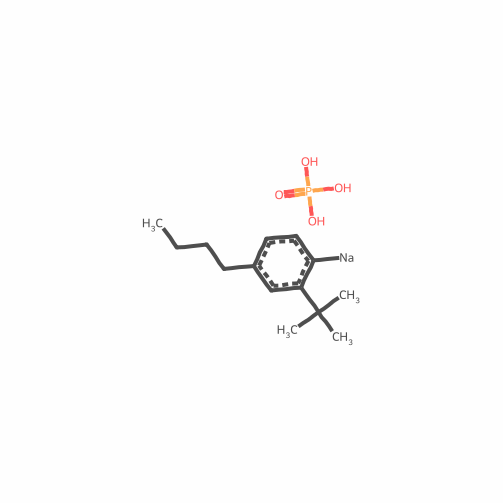 CCCCc1cc[c]([Na])c(C(C)(C)C)c1.O=P(O)(O)O